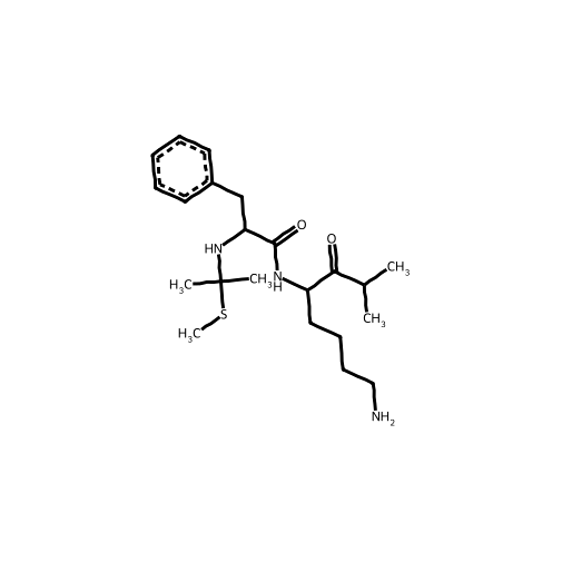 CSC(C)(C)NC(Cc1ccccc1)C(=O)NC(CCCCN)C(=O)C(C)C